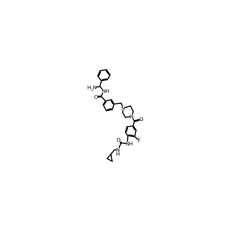 NC(NC(=O)c1cccc(CN2CCN(C(=O)c3ccc(NC(=O)NCC4CC4)c(F)c3)CC2)c1)c1ccccc1